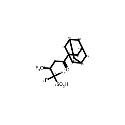 O=C(CC(C(F)(F)F)C(F)(F)S(=O)(=O)O)C12CC3CC(CC(C3)C1)C2